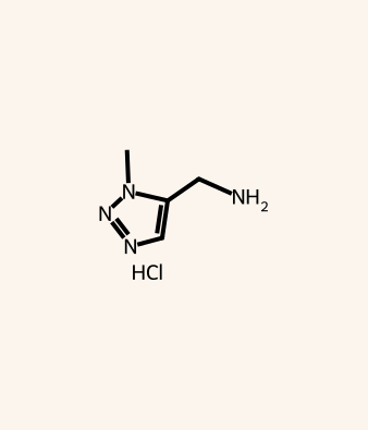 Cl.Cn1nncc1CN